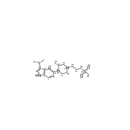 CC(C)c1c[nH]c2ccc(N3CCN(CCCS(C)(=O)=O)CC3C)nc12